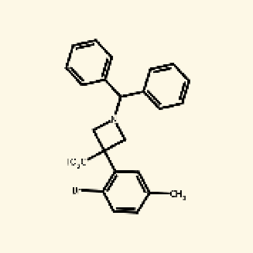 Cc1ccc(Br)c(C2(C(=O)O)CN(C(c3ccccc3)c3ccccc3)C2)c1